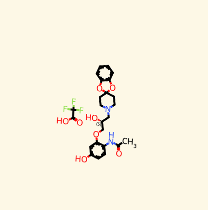 CC(=O)Nc1ccc(O)cc1OC[C@@H](O)CN1CCC2(CC1)Oc1ccccc1O2.O=C(O)C(F)(F)F